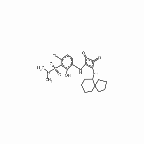 CN(C)S(=O)(=O)c1c(Cl)ccc(Nc2c(NC3CCCCC34CCCC4)c(=O)c2=O)c1O